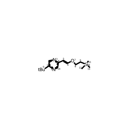 CC(C)(C)c1cnc(/C=C/OCC[Si](C)(C)C)cn1